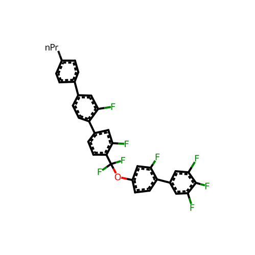 CCCc1ccc(-c2ccc(-c3ccc(C(F)(F)Oc4ccc(-c5cc(F)c(F)c(F)c5)c(F)c4)c(F)c3)c(F)c2)cc1